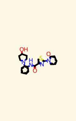 O=C(Nc1ccccc1N1CCC(O)CC1)c1csc(-n2ccccc2=O)n1